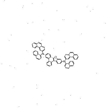 c1ccc2c(N(c3ccc4c(c3)oc3c5ccc(N(c6ccc7ccc8ccccc8c7c6)c6cccc7ccccc67)cc5c5ccccc5c43)c3ccc4ccc5ccccc5c4c3)cccc2c1